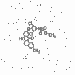 CCOC(=O)C(=O)Nc1cc(Cl)c(Oc2ccc(O)c(C(=O)N3CCCc4cc(C)ccc43)c2)c(Cl)c1